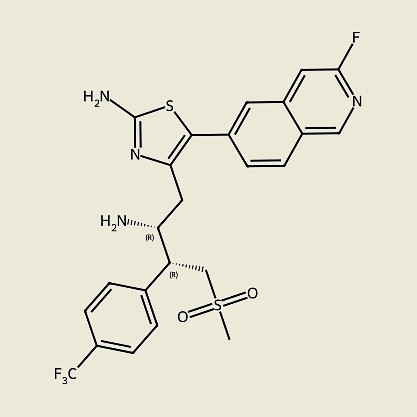 CS(=O)(=O)C[C@H](c1ccc(C(F)(F)F)cc1)[C@H](N)Cc1nc(N)sc1-c1ccc2cnc(F)cc2c1